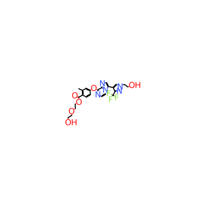 Cc1cc(Oc2nccn3c(-c4cn(CCO)nc4C(F)(F)F)cnc23)ccc1C(=O)OCCOCCO